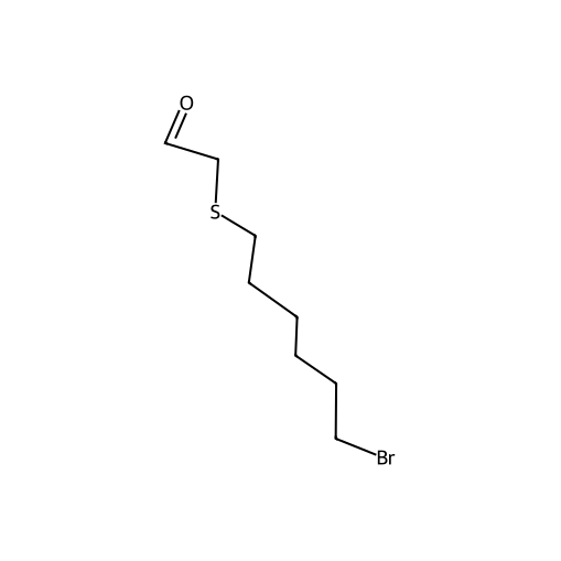 O=CCSCCCCCCBr